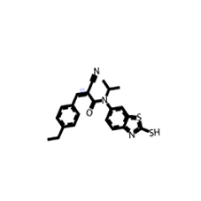 CCc1ccc(/C=C(/C#N)C(=O)N(c2ccc3nc(S)sc3c2)C(C)C)cc1